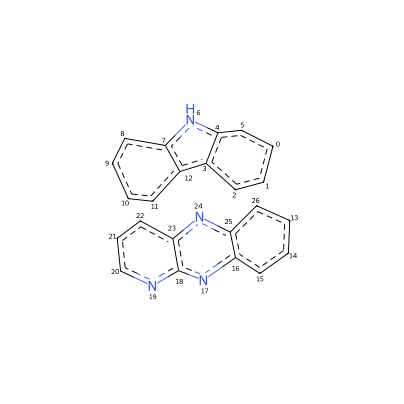 c1ccc2c(c1)[nH]c1ccccc12.c1ccc2nc3ncccc3nc2c1